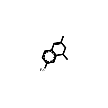 CC1=Cc2ccc(C(F)(F)F)cc2C(C)C1